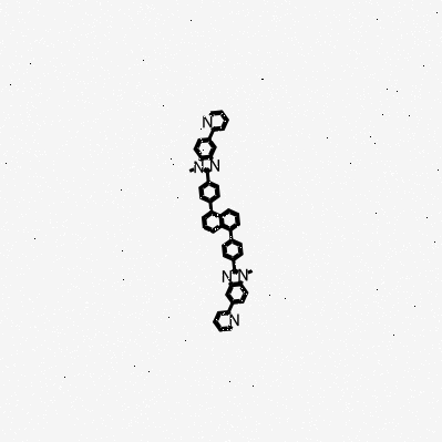 Cn1c(-c2ccc(-c3cccc4c(-c5ccc(-c6nc7cc(-c8ccccn8)ccc7n6C)cc5)cccc34)cc2)nc2cc(-c3ccccn3)ccc21